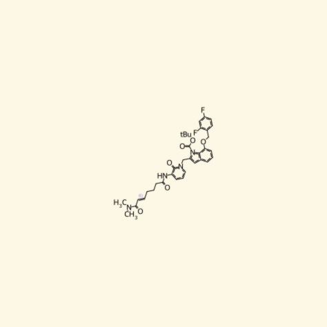 CN(C)C(=O)/C=C/CCCC(=O)Nc1cccn(Cc2cc3cccc(OCc4ccc(F)cc4F)c3n2C(=O)OC(C)(C)C)c1=O